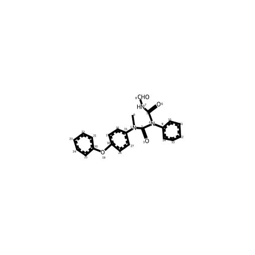 CN(C(=O)N(C(=O)NC=O)c1ccccc1)c1ccc(Oc2ccccc2)cc1